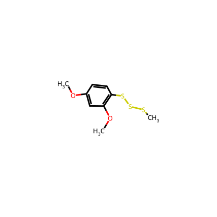 COc1ccc(SSSC)c(OC)c1